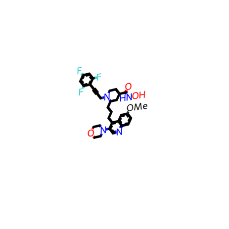 COc1ccc2ncc(N3CCOCC3)c(CCCC3CC(C(=O)NO)CCN3CC#Cc3c(F)cc(F)cc3F)c2c1